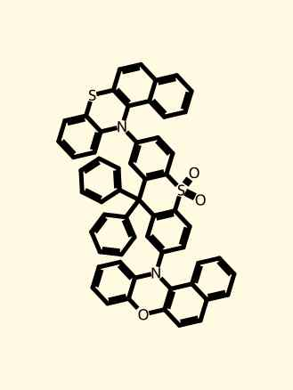 O=S1(=O)c2ccc(N3c4ccccc4Oc4ccc5ccccc5c43)cc2C(c2ccccc2)(c2ccccc2)c2cc(N3c4ccccc4Sc4ccc5ccccc5c43)ccc21